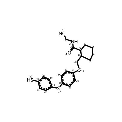 N#CCNC(=O)C1CCCCC1CSc1ccc(Sc2ccc(S)cc2)cc1